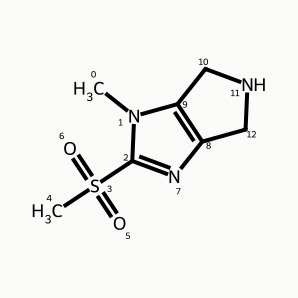 Cn1c(S(C)(=O)=O)nc2c1CNC2